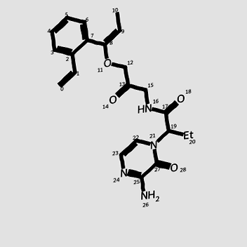 C=Cc1ccccc1/C(=C\C)OCC(=O)CNC(=O)C(CC)n1ccnc(N)c1=O